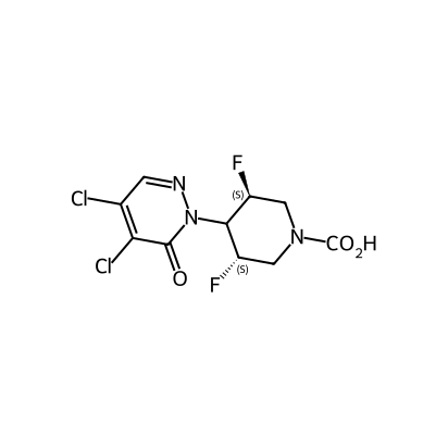 O=C(O)N1C[C@H](F)C(n2ncc(Cl)c(Cl)c2=O)[C@@H](F)C1